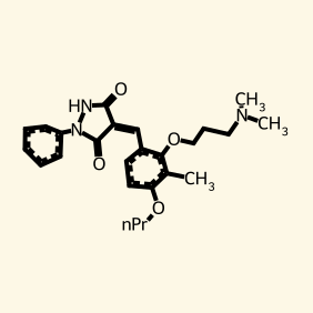 CCCOc1ccc(C=C2C(=O)NN(c3ccccc3)C2=O)c(OCCCN(C)C)c1C